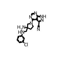 N#Cc1n[nH]c2ncnc(N3CCC(N)(CNc4cccc(Cl)c4)C3)c12